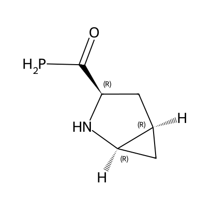 O=C(P)[C@H]1C[C@H]2C[C@H]2N1